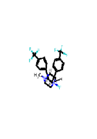 C[N+]12CC[N+](F)(CC1)[C@@H](c1ccc(C(F)(F)F)cc1)[C@@H]2c1ccc(C(F)(F)F)cc1